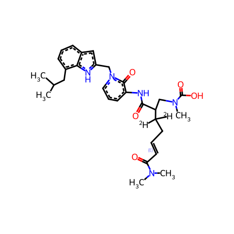 [2H]C([2H])(C/C=C/C(=O)N(C)C)C(CN(C)C(=O)O)C(=O)Nc1cccn(Cc2cc3cccc(CC(C)C)c3[nH]2)c1=O